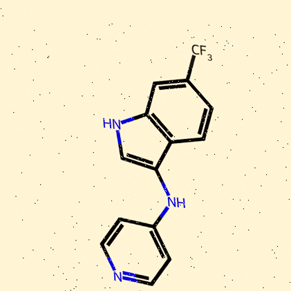 FC(F)(F)c1ccc2c(Nc3ccncc3)c[nH]c2c1